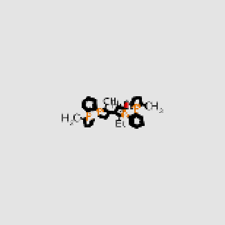 CC[C@@H]1CC(C2CCP(c3ccccc3P3CCC[C@H]3C)[C@@H]2C)[C@@H](CC)P1c1ccccc1P1[C@H](C)CC[C@H]1C